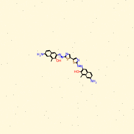 Cc1c(O)c(/N=N/c2ncc(-c3cnc(/N=N/c4cc5ccc(N)cc5c(C)c4O)s3)s2)cc2ccc(N)cc12